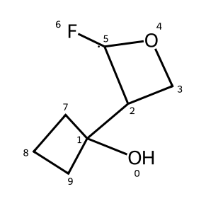 OC1(C2CO[C]2F)CCC1